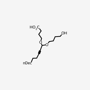 CCCCCCCCCCCCC#CC(OCCCCO)OCCCC(=O)O